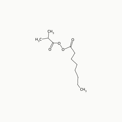 CCCCCCCC(=O)OOC(=O)C(C)C